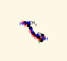 CC[C@@H]1CCN(S(=O)(=O)Nc2ccc(F)c(Oc3ccc4ncn([C@H]5COC6(CCN(C(=O)CN7CCC(c8ccc9c(C%10CCC(=O)NC%10=O)nn(C)c9c8)CC7)CC6)C5)c(=O)c4c3)c2C#N)C1